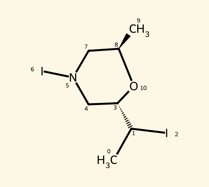 CC(I)[C@@H]1CN(I)C[C@@H](C)O1